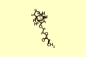 C=CC(=O)OCCO[C@H]1C[C@H]2C[C@@H]1[C@@H]1CCC[C@H]21